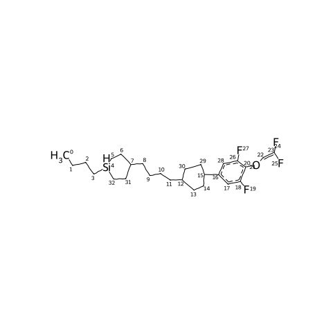 CCCC[SiH]1CCC(CCCCC2CCC(c3cc(F)c(OC=C(F)F)c(F)c3)CC2)CC1